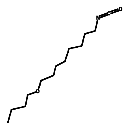 CCCCOCCCCCCCCN=C=O